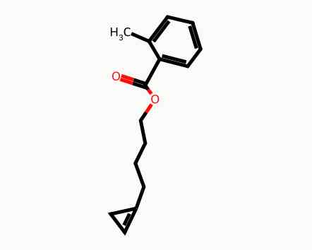 Cc1ccccc1C(=O)OCCCCC1=CC1